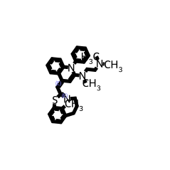 Cc1c2cccc1SC(/C=C1\C=C(N(C)CCN(C)C)N(c3ccccc3)c3ccccc31)=N/CCC2